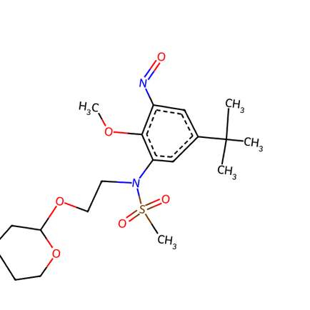 COc1c(N=O)cc(C(C)(C)C)cc1N(CCOC1CCCCO1)S(C)(=O)=O